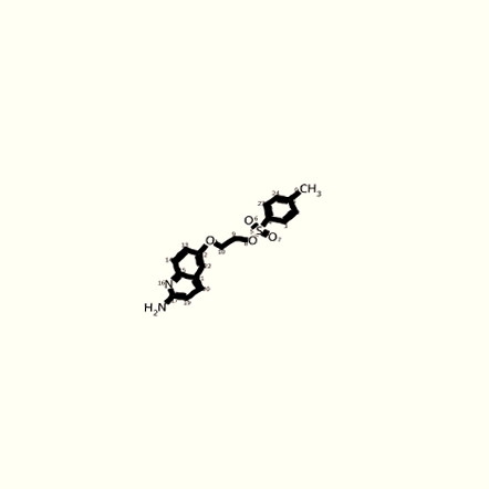 Cc1ccc(S(=O)(=O)OCCOc2ccc3nc(N)ccc3c2)cc1